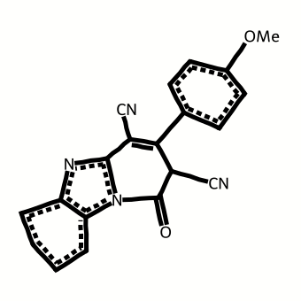 COc1ccc(C2=C(C#N)c3nc4ccccc4n3C(=O)C2C#N)cc1